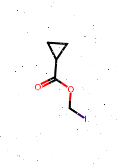 O=C(OCI)C1CC1